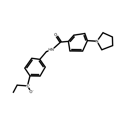 CC[S+]([O-])c1ccc(CNC(=O)c2ccc(N3CCCC3)cc2)cc1